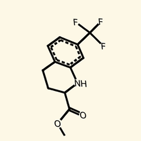 COC(=O)C1CCc2ccc(C(F)(F)F)cc2N1